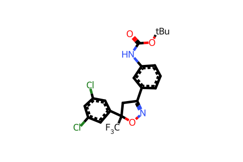 CC(C)(C)OC(=O)Nc1cccc(C2=NOC(c3cc(Cl)cc(Cl)c3)(C(F)(F)F)C2)c1